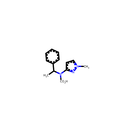 CC(c1ccccc1)N(C(=O)O)c1ccn(C)n1